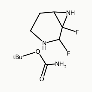 CC(C)(C)OC(N)=O.FC1NCCC2NC12F